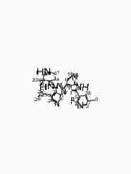 Cc1cnc(F)c(-c2cc3c(-c4nc(N[C@H]5CCNCC5(C)C)c5c(C6CC6)cncc5n4)ccnc3[nH]2)c1